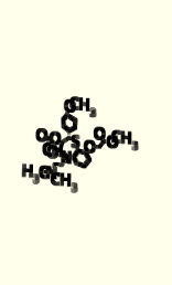 COC(=O)COc1cccc2c1S[C@@H](c1ccc(OC)cc1)[C@@H](OC(C)=O)C(=O)N2CCN(C)C